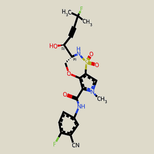 Cn1cc2c(c1C(=O)Nc1ccc(F)c(C#N)c1)OC[C@H]([C@@H](O)C#CC(C)(C)F)NS2(=O)=O